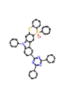 O=P1(c2ccccc2)c2ccccc2Sc2cc3c(cc21)c1cc(-c2nc(-c4ccccc4)nc(-c4ccccc4)n2)ccc1n3-c1ccccc1